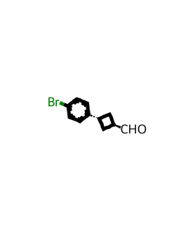 O=C[C@H]1C[C@H](c2ccc(Br)cc2)C1